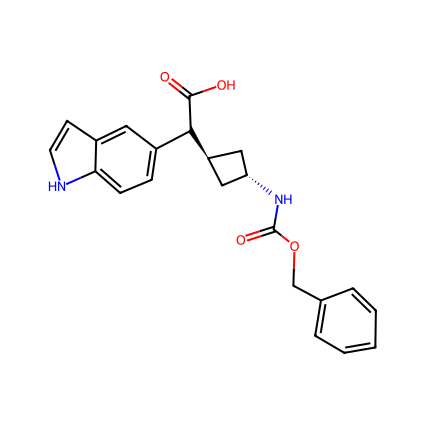 O=C(N[C@H]1C[C@H](C(C(=O)O)c2ccc3[nH]ccc3c2)C1)OCc1ccccc1